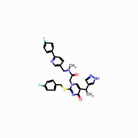 CC(c1cn[nH]c1)c1cn(CC(=O)N(C)Cc2ccc(-c3ccc(F)cc3)nc2)c(SCc2ccc(F)cc2)nc1=O